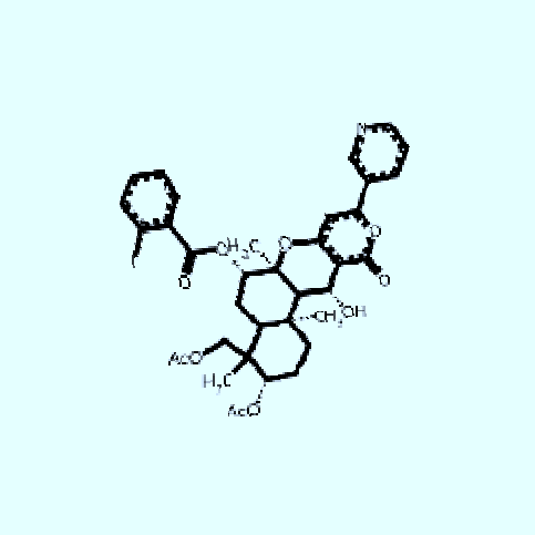 CC(=O)OCC1(C)C2C[C@H](OC(=O)c3ccccc3I)[C@@]3(C)Oc4cc(-c5cccnc5)oc(=O)c4[C@H](O)C3[C@@]2(C)CC[C@@H]1OC(C)=O